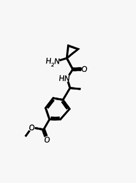 COC(=O)c1ccc(C(C)NC(=O)C2(N)CC2)cc1